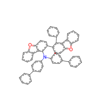 c1ccc(-c2ccc(N(c3ccc(-c4ccccc4)cc3)c3c(-c4ccc5oc6ccccc6c5c4-c4ccccc4)ccc4oc5ccccc5c34)cc2)cc1